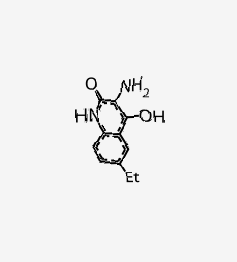 CCc1ccc2[nH]c(=O)c(N)c(O)c2c1